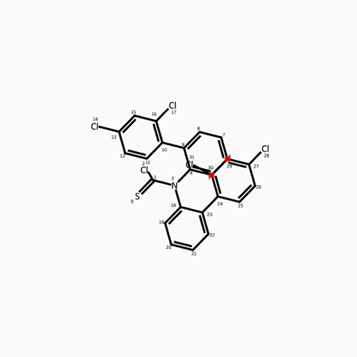 S=C(Cl)N(c1ccccc1-c1ccc(Cl)cc1Cl)c1ccccc1-c1ccc(Cl)cc1Cl